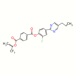 C=CCc1cnc(-c2ccc(OC(=O)c3ccc(C(=O)OC(=C)C(F)(F)F)cc3)c(F)c2)nc1